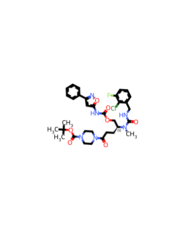 CN(C(=O)NCc1cccc(F)c1Cl)[C@@H](CCC(=O)N1CCN(C(=O)OC(C)(C)C)CC1)COC(=O)Nc1cc(-c2ccccc2)no1